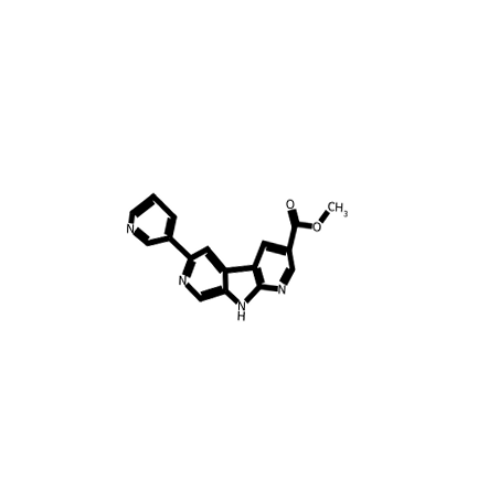 COC(=O)c1cnc2[nH]c3cnc(-c4cccnc4)cc3c2c1